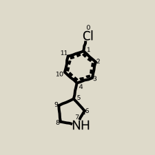 Clc1ccc(C2[CH]NCC2)cc1